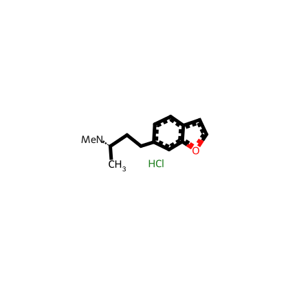 CN[C@@H](C)CCc1ccc2ccoc2c1.Cl